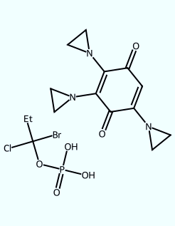 CCC(Cl)(Br)OP(=O)(O)O.O=C1C=C(N2CC2)C(=O)C(N2CC2)=C1N1CC1